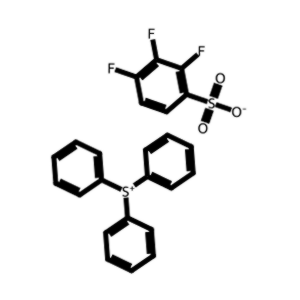 O=S(=O)([O-])c1ccc(F)c(F)c1F.c1ccc([S+](c2ccccc2)c2ccccc2)cc1